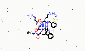 CC(C)CNC(=O)[C@H](Cc1c[nH]c2ccccc12)N(C)C(=O)[C@H](CCCCN)NC(=O)[C@H](CCCN)NCc1ccccc1S